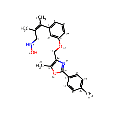 CC(CNO)=C(C)c1cccc(OCc2nc(-c3ccc(C(F)(F)F)cc3)oc2C)c1